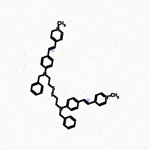 CN1C=CC(/C=C/c2ccc(N(CCSSCCN(Cc3ccccc3)c3ccc(/C=C/c4cc[n+](C)cc4)cc3)Cc3ccccc3)cc2)=CC1